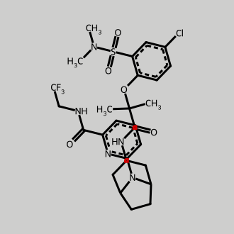 CN(C)S(=O)(=O)c1cc(Cl)ccc1OC(C)(C)C(=O)NC1CC2CCC(C1)N2c1cccc(C(=O)NCC(F)(F)F)n1